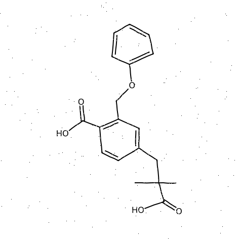 CC(C)(Cc1ccc(C(=O)O)c(COc2ccccc2)c1)C(=O)O